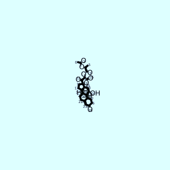 CC(=O)OC(C)C(=O)OCC(=O)[C@]1(OC=O)CC[C@H]2[C@@H]3CCC4=CC(=O)CC[C@]4(C)[C@H]3[C@@H](O)C[C@@]21C